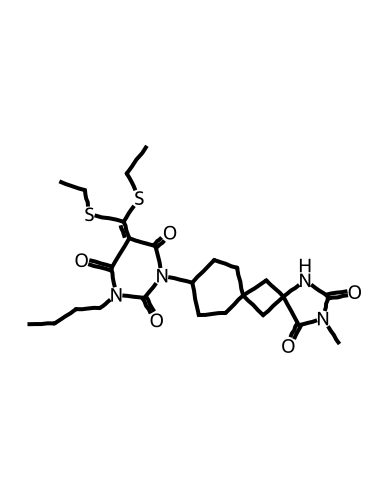 CCCCN1C(=O)C(=C(SCC)SCC)C(=O)N(C2CCC3(CC2)CC2(C3)NC(=O)N(C)C2=O)C1=O